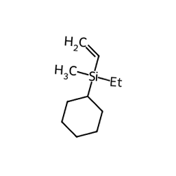 C=C[Si](C)(CC)C1CCCCC1